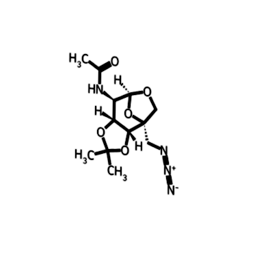 CC(=O)N[C@H]1[C@H]2OC[C@](CN=[N+]=[N-])(O2)[C@@H]2OC(C)(C)O[C@H]12